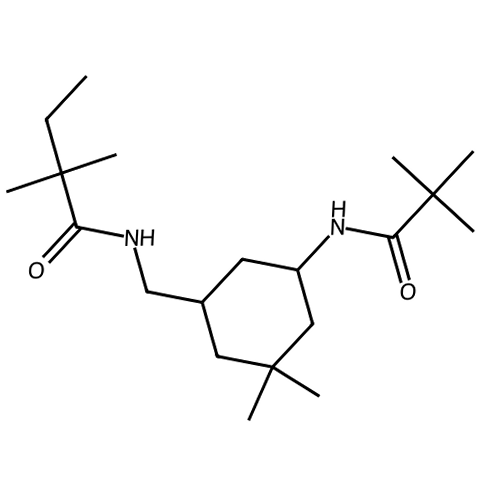 CCC(C)(C)C(=O)NCC1CC(NC(=O)C(C)(C)C)CC(C)(C)C1